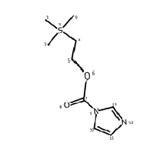 CS(C)(C)CCOC(=O)n1ccnc1